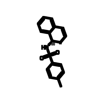 Cc1ccc(S(=O)(=O)N[C@@H]2[C]C=Cc3ccccc32)cc1